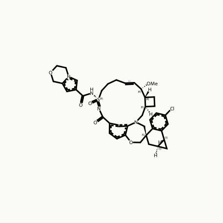 CO[C@H]1/C=C/CCC[S@@](=O)(NC(=O)c2cc3n(c2)CCOC3)=NC(=O)c2ccc3c(c2)N(C[C@@H]2CC[C@H]21)C[C@]1(CO3)C[C@@H]2C[C@@H]2c2cc(Cl)ccc21